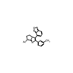 CC(=O)N1CCn2c1nc(-c1cccc(C)n1)c2-c1cccc2nonc12